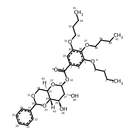 CCCCOc1cc(C(=O)O[C@@H]2O[C@@H]3COC(c4ccccc4)O[C@H]3[C@H](O)[C@H]2O)cc(OCCCC)c1OCCCC